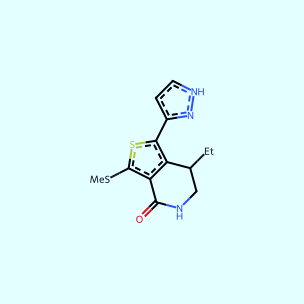 CCC1CNC(=O)c2c(SC)sc(-c3cc[nH]n3)c21